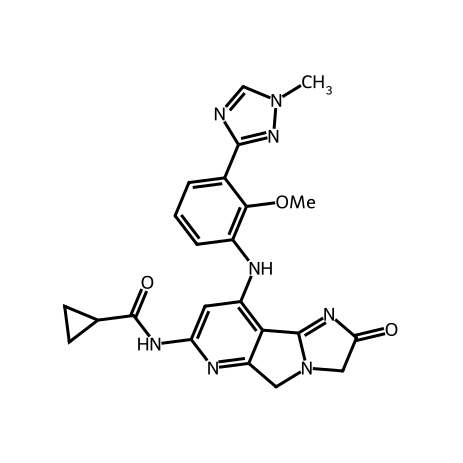 COc1c(Nc2cc(NC(=O)C3CC3)nc3c2C2=NC(=O)CN2C3)cccc1-c1ncn(C)n1